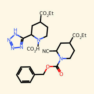 CCOC(=O)C1CCN(C(=O)O)C(c2nnn[nH]2)C1.CCOC(=O)C1CCN(C(=O)OCc2ccccc2)C(C#N)C1